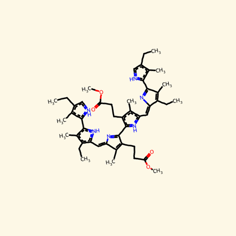 CCC1=C(C)C(c2[nH]cc(CC)c2C)=N/C1=C\c1[nH]c(C2=N/C(=C\c3[nH]c(-c4[nH]cc(CC)c4C)c(C)c3CC)C(C)=C2CCC(=O)OC)c(CCC(=O)OC)c1C